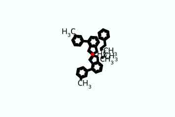 Cc1cccc(-c2cccc3c2C=C[CH]3[Hf]([CH3])([CH3])([CH3])(=[CH]Cc2ccccc2)[CH]2C=Cc3c(-c4cccc(C)c4)cccc32)c1